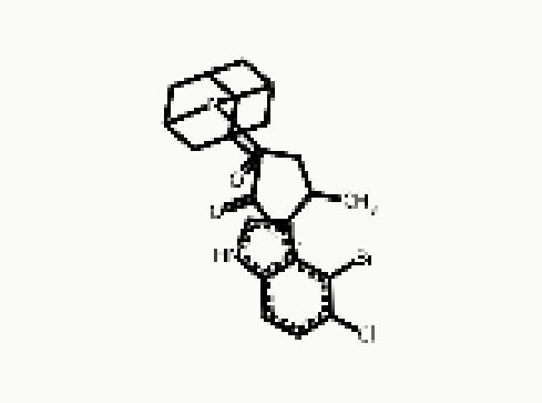 CC(=O)CC12CC3CC(C1)N(C(=O)CC(C)c1c[nH]c4ccc(Cl)c(Br)c14)C(C3)C2